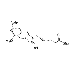 COC(=O)CCCC#CC[C@H]1C(=O)N(Cc2ccc(OC)cc2OC)C[C@@H]1CO